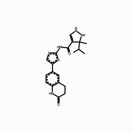 CC(C)C1(C)NNC=C1C(=O)Nc1nc(-c2ccc3c(c2)CCC(=O)N3)cs1